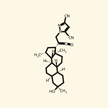 C[C@@H]1C[C@H](C(=C=O)Cn2nc(C#N)cc2C#N)[C@@]2(C)CC[C@H]3[C@@H](CC[C@@H]4C[C@](C)(O)CC[C@@H]43)[C@H]12